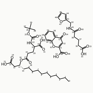 CCCCCCCCCCC[C@H](CC(=O)O)OC(=O)CCC(NC(=O)OC(C)(C)C)C(=O)O.O=C(O)CCCC(=O)NCc1ccco1.O=C(O)c1cc(=O)c2ccccc2o1